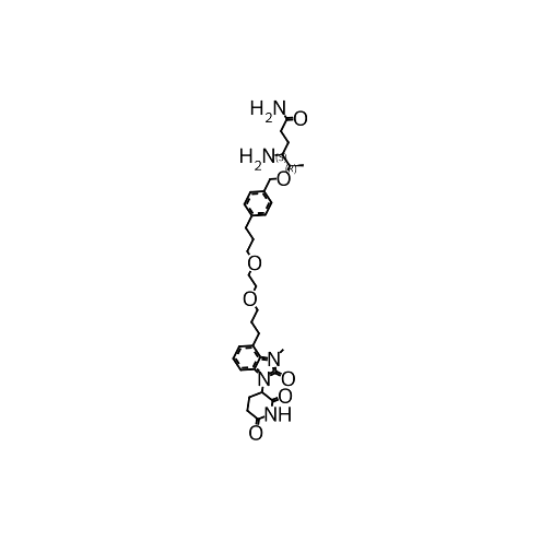 C[C@@H](OCc1ccc(CCCOCCOCCCc2cccc3c2n(C)c(=O)n3C2CCC(=O)NC2=O)cc1)[C@@H](N)CCC(N)=O